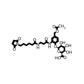 CC(=O)OCc1ccc(O[C@@H]2O[C@H](C(=O)O)[C@@H](O)[C@H](O)[C@H]2O)c(NC(=O)CCNC(=O)CCCCCN2C(=O)C=CC2=O)c1